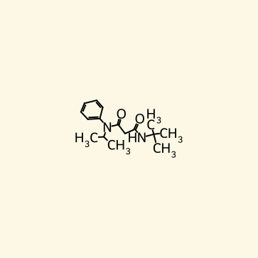 CC(C)N(C(=O)CC(=O)NC(C)(C)C)c1ccccc1